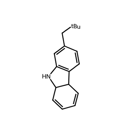 CC(C)(C)Cc1ccc2c(c1)NC1C=CC=CC21